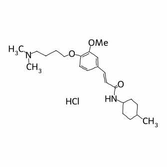 COc1cc(/C=C/C(=O)NC2CCC(C)CC2)ccc1OCCCCN(C)C.Cl